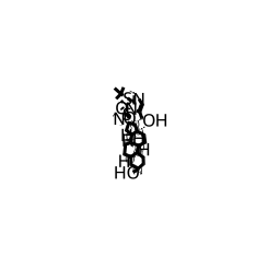 CN(C)S(=O)(=O)n1c(C(O)[C@H]2CC[C@H]3[C@@H]4CC[C@@H]5C[C@](C)(O)CC[C@@H]5[C@H]4CC[C@]23C)cnc1[Si](C)(C)C(C)(C)C